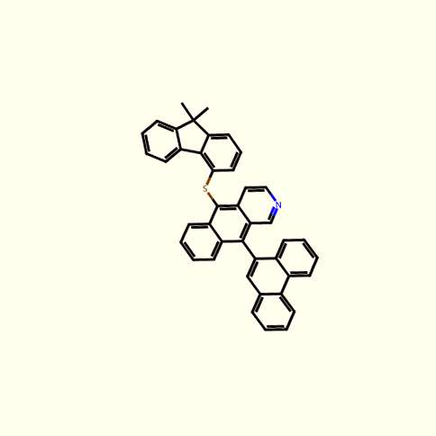 CC1(C)c2ccccc2-c2c(Sc3c4ccccc4c(-c4cc5ccccc5c5ccccc45)c4cnccc34)cccc21